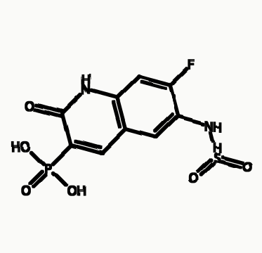 O=c1[nH]c2cc(F)c(N[SH](=O)=O)cc2cc1P(=O)(O)O